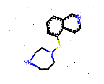 c1cc(SN2CCCNCC2)c2ccncc2c1